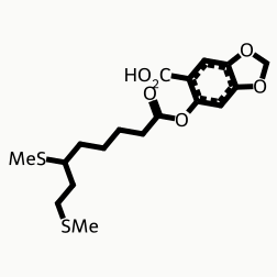 CSCCC(CCCCC(=O)Oc1cc2c(cc1C(=O)O)OCO2)SC